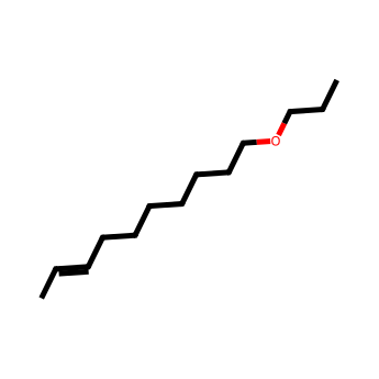 CC=CCCCCCCCOCCC